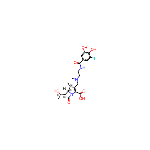 C[C@@H](O)[C@H]1C(=O)N2C(C(=O)O)=C(CN(C)CCNC(=O)c3cc(O)c(O)c(F)c3)[C@H](C)[C@H]12